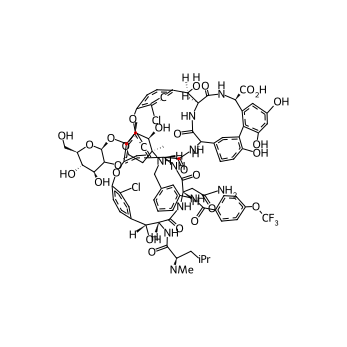 CN[C@H](CC(C)C)C(=O)N[C@H]1C(=O)N[C@@H](CC(N)=O)C(=O)N[C@H]2C(=O)N[C@H]3C(=O)N[C@H](C(=O)N[C@@H](C(=O)O)c4cc(O)cc(O)c4-c4cc3ccc4O)[C@H](O)c3ccc(c(Cl)c3)Oc3cc2cc(c3O[C@@H]2O[C@H](CO)[C@@H](O)[C@H](O)C2O[C@H]2C[C@](C)(NCc3cccc(NC(=O)c4ccc(OC(F)(F)F)cc4)c3)[C@H](O)[C@H](C)O2)Oc2ccc(cc2Cl)[C@H]1O